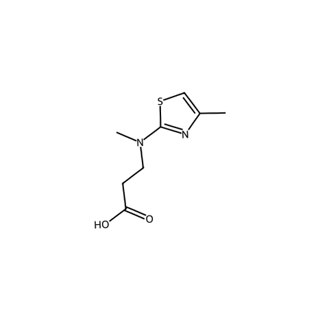 Cc1csc(N(C)CCC(=O)O)n1